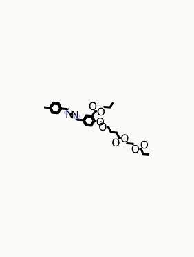 C=CC(=O)OCCOC(=O)CCCOOc1ccc(/C=N/N=C/c2ccc(C)cc2)cc1C(=O)OCCC